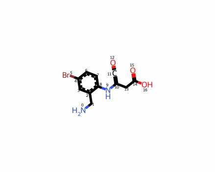 NCc1cc(Br)ccc1NC(=C=O)CC(=O)O